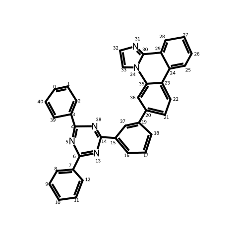 c1ccc(-c2nc(-c3ccccc3)nc(-c3cccc(-c4ccc5c6ccccc6c6nccn6c5c4)c3)n2)cc1